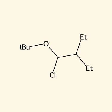 CCC(CC)C(Cl)OC(C)(C)C